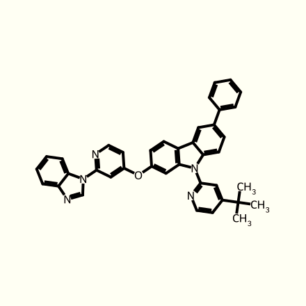 CC(C)(C)c1ccnc(-n2c3ccc(-c4ccccc4)cc3c3ccc(Oc4ccnc(-n5cnc6ccccc65)c4)cc32)c1